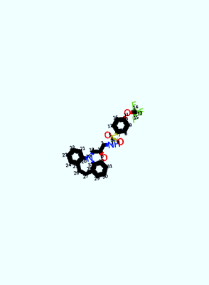 O=C(CNS(=O)(=O)c1ccc(OC(F)(F)F)cc1)CN1c2ccccc2CCc2ccccc21